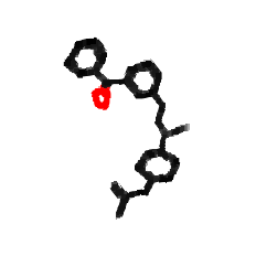 CC(C)Cc1ccc(C(C)CCc2cccc(C(=O)c3ccccc3)c2)cc1